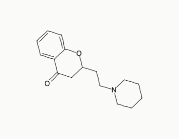 O=C1CC(CCN2CCCCC2)Oc2ccccc21